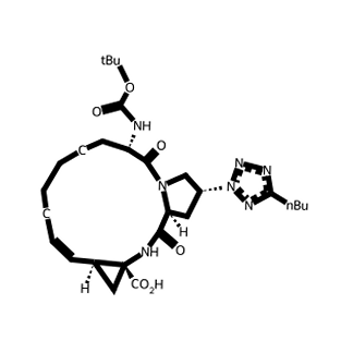 CCCCc1nnn([C@@H]2C[C@H]3C(=O)N[C@]4(C(=O)O)C[C@H]4/C=C\CCCCC[C@H](NC(=O)OC(C)(C)C)C(=O)N3C2)n1